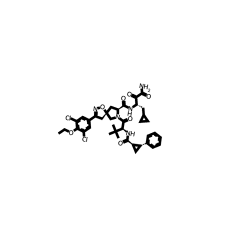 CCOc1c(Cl)cc(C2=NO[C@]3(C2)C[C@@H](C(=O)N[C@@H](CC2CC2)C(=O)C(N)=O)N(C(=O)[C@@H](NC(=O)[C@@H]2C[C@H]2c2ccccc2)C(C)(C)C)C3)cc1Cl